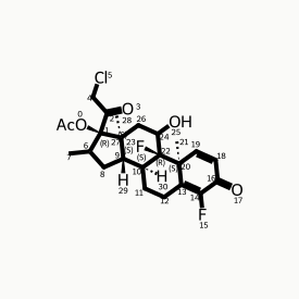 CC(=O)O[C@]1(C(=O)CCl)C(C)C[C@H]2[C@@H]3CCC4=C(F)C(=O)C=C[C@]4(C)[C@@]3(F)C(O)C[C@@]21C